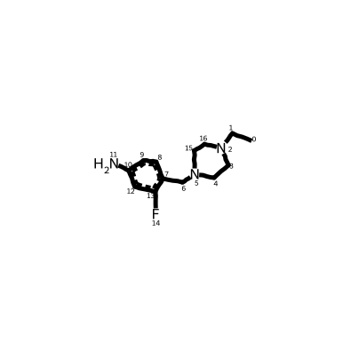 CCN1CCN(Cc2ccc(N)cc2F)CC1